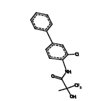 CC(O)(C(=O)Nc1ccc(-c2ccccc2)cc1Cl)C(F)(F)F